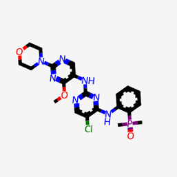 COc1nc(N2CCOCC2)ncc1Nc1ncc(Cl)c(Nc2ccccc2P(C)(C)=O)n1